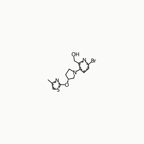 Cc1csc(O[C@H]2CCN(c3ccc(Br)nc3CO)C2)n1